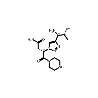 CC(C)[C@H](C)[C@H](N)c1cn([C@@H](CC(N)=O)C(=O)N2CCNCC2)nn1